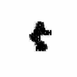 O=C(O)C[C@H](NC(=O)[C@@H]1CCCN(CCCc2ccc3c(n2)NCCC3)C1)c1ccc2c(c1)CCCC2